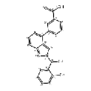 O=C(O)c1cccc(-c2cccc3nn(C(F)c4ccccc4F)cc23)c1